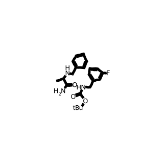 CC(C)(C)OC(=O)NCc1cccc(F)c1.CC(NCc1ccccc1)C(N)=O